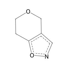 c1noc2c1COCC2